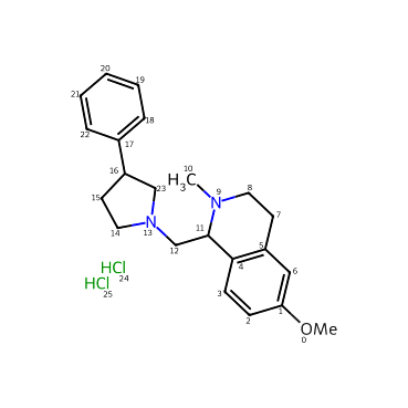 COc1ccc2c(c1)CCN(C)C2CN1CCC(c2ccccc2)C1.Cl.Cl